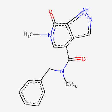 CN(Cc1ccccc1)C(=O)c1cn(C)c(=O)c2[nH]ncc12